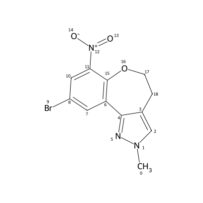 Cn1cc2c(n1)-c1cc(Br)cc([N+](=O)[O-])c1OCC2